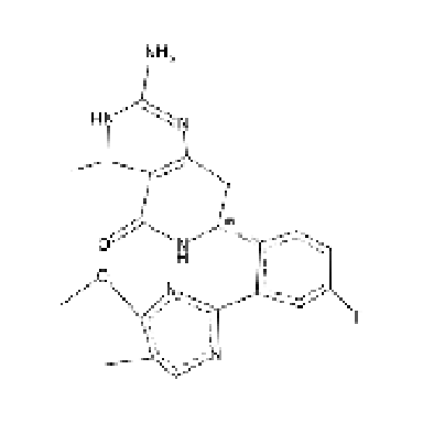 COc1nc(-c2cc(F)ccc2[C@H]2CC3=C(C(=O)N2)C(C)NC(N)=N3)ncc1C